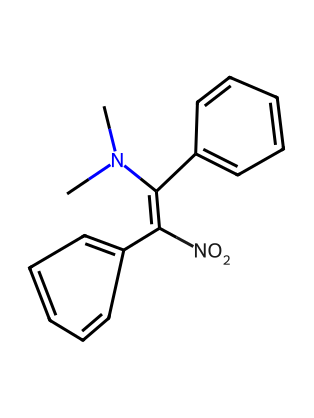 CN(C)C(=C(c1ccccc1)[N+](=O)[O-])c1ccccc1